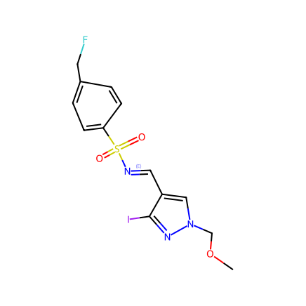 COCn1cc(/C=N/S(=O)(=O)c2ccc(CF)cc2)c(I)n1